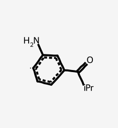 CC(C)C(=O)c1cc[c]c(N)c1